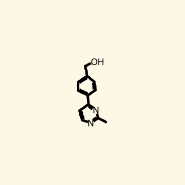 Cc1nccc(-c2ccc(CO)cc2)n1